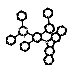 c1ccc(-c2cccc(-c3cc(-c4nc(-c5ccccc5)nc(-c5ccccc5)n4)c(-c4ccccc4)cc3-n3c4cc5ccccc5cc4c4cc5ccccc5cc43)c2)cc1